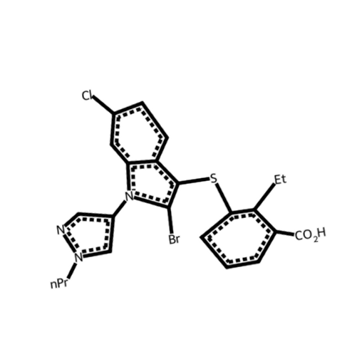 CCCn1cc(-n2c(Br)c(Sc3cccc(C(=O)O)c3CC)c3ccc(Cl)cc32)cn1